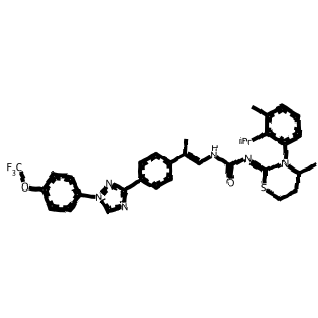 C/C(=C\NC(=O)/N=C1\SCCC(C)N1c1cccc(C)c1C(C)C)c1ccc(-c2ncn(-c3ccc(OC(F)(F)F)cc3)n2)cc1